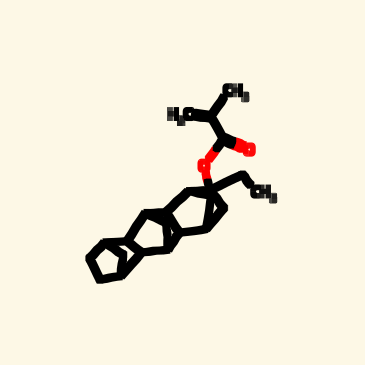 C=C(C)C(=O)OC1(CC)CC2CC1C1C3CC(C4C5CCC(C5)C34)C21